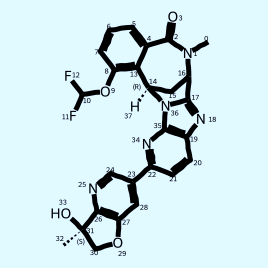 CN1C(=O)c2cccc(OC(F)F)c2[C@H]2CC1c1nc3ccc(-c4cnc5c(c4)OC[C@@]5(C)O)nc3n12